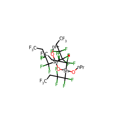 CCC[O][Sn]([O][Sn]([O]CCC)([C](F)(F)C(F)(F)CC(F)(F)F)[C](F)(F)C(F)(F)CC(F)(F)F)([C](F)(F)C(F)(F)CC(F)(F)F)[C](F)(F)C(F)(F)CC(F)(F)F